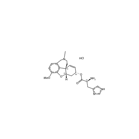 COc1ccc2c3c1O[C@H]1C[C@@H](OC(=O)[C@@H](N)Cc4c[nH]cn4)C=C[C@@]31CCN(C)C2.Cl